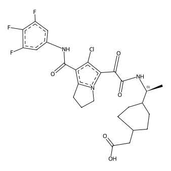 C[C@H](NC(=O)C(=O)c1c(Cl)c(C(=O)Nc2cc(F)c(F)c(F)c2)c2n1CCC2)C1CCC(CC(=O)O)CC1